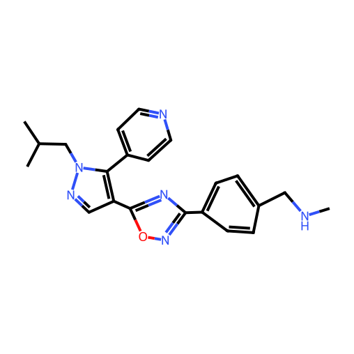 CNCc1ccc(-c2noc(-c3cnn(CC(C)C)c3-c3ccncc3)n2)cc1